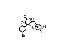 CN1C[C@@H]2CC[C@H]1CN2Cc1nc2c(oc3ccc(Br)cc32)c(=O)[nH]1